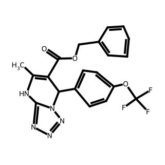 CC1=C(C(=O)OCc2ccccc2)C(c2ccc(OC(F)(F)F)cc2)n2nnnc2N1